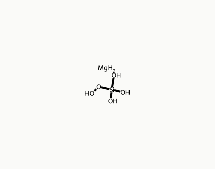 OO[Si](O)(O)O.[MgH2]